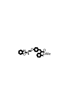 COC(=O)C(Cc1ccc(OCCN(C)c2nc3ccccc3o2)cc1)c1ccccc1I